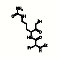 [2H]CC(=O)[C@H](CCCNC(N)=O)NC(=O)[C@@H](NCC)C(C)C